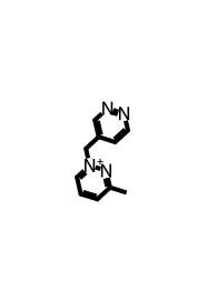 Cc1ccc[n+](Cc2ccnnc2)n1